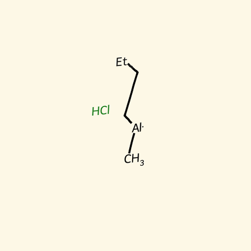 CCC[CH2][Al][CH3].Cl